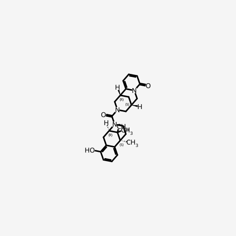 CC1(C)[C@H]2Cc3c(O)cccc3[C@]1(C)CCN2C(=O)N1C[C@@H]2C[C@H](C1)c1cccc(=O)n1C2